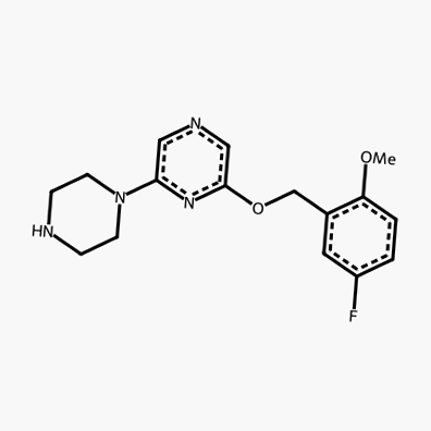 COc1ccc(F)cc1COc1cncc(N2CCNCC2)n1